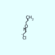 C=CCON=C[CH]Cl